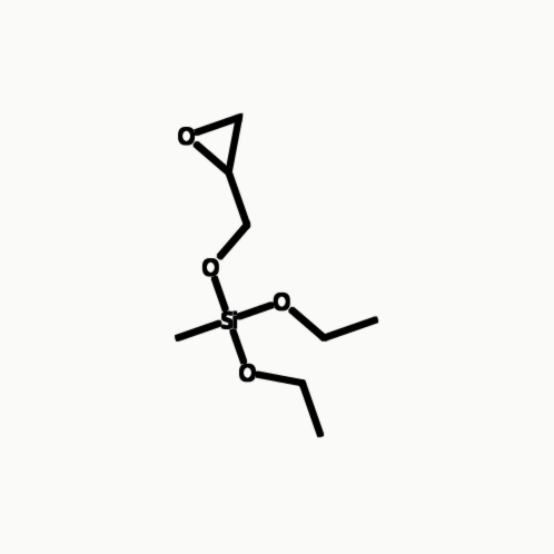 CCO[Si](C)(OCC)OCC1CO1